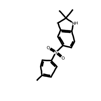 Cc1ccc(S(=O)(=O)c2ccc3c(c2)[CH]C(C)(C)N3)cc1